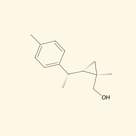 Cc1ccc([C@@H](C)[C@@H]2C[C@@]2(C)CO)cc1